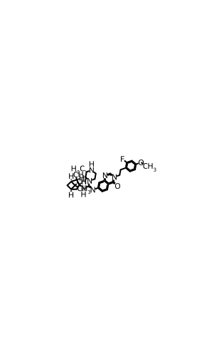 COc1ccc(CCn2cnc3cc(N=C(N[C@@H]4C[C@@H]5C[C@@H]([C@@H]4C)C5(C)C)N4CCN[C@@H](C)C4)ccc3c2=O)c(F)c1